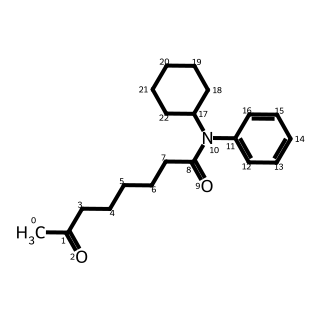 CC(=O)CCCCCC(=O)N(c1ccccc1)C1CCCCC1